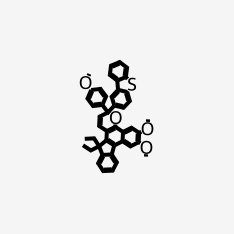 CCC1(CC)c2ccccc2-c2c1c1c(c3cc(OC)c(OC)cc23)OC(c2ccc(OC)cc2)(c2ccc3sc4ccccc4c3c2)C=C1